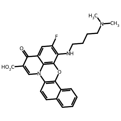 CN(C)CCCCNc1c(F)cc2c(=O)c(C(=O)O)cn3c2c1Oc1c-3ccc2ccccc12